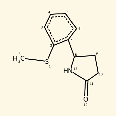 CSc1ccccc1C1CCC(=O)N1